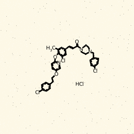 Cc1cc(C=CC(=O)N2CCN(Cc3ccc(Cl)cc3)CC2)cc(Cl)c1Oc1ccc(OCCc2ccc(Cl)cc2)cn1.Cl